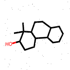 CC1(C)C(O)CCC2C3CCCCC3CCC21